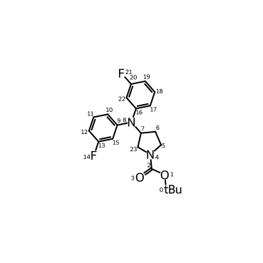 CC(C)(C)OC(=O)N1CCC(N(c2cccc(F)c2)c2cccc(F)c2)C1